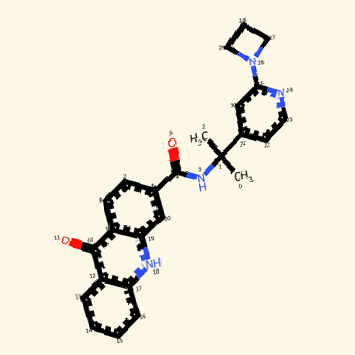 CC(C)(NC(=O)c1ccc2c(=O)c3ccccc3[nH]c2c1)c1ccnc(N2CCC2)c1